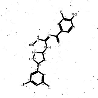 CC(C)(C)N/C(=N/C(=O)c1ccc(Cl)c(F)c1)NC1CC(c2cc(F)cc(F)c2)NN1